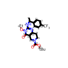 CCOn1c(NC(C)c2ccc(C(F)(F)F)cc2)nc2c(c1=O)CN(C(=O)OC(C)(C)C)CC2